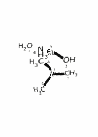 CCO.CN(C)C.N.O